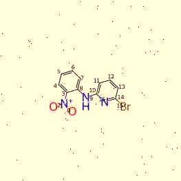 O=[N+]([O-])c1ccccc1Nc1cccc(Br)n1